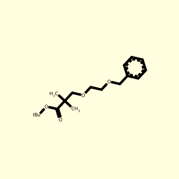 CC(C)(C)OC(=O)C(C)(C)COCCOCc1ccccc1